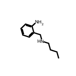 CCCCNCc1ccccc1N